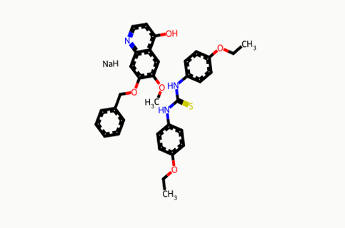 CCOc1ccc(NC(=S)Nc2ccc(OCC)cc2)cc1.COc1cc2c(O)ccnc2cc1OCc1ccccc1.[NaH]